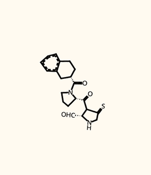 O=C[C@H]1NCC(=S)C1C(=O)[C@@H]1CCCN1C(=O)[C@H]1CCc2ccccc2C1